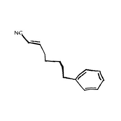 N#CC=CCCCc1ccccc1